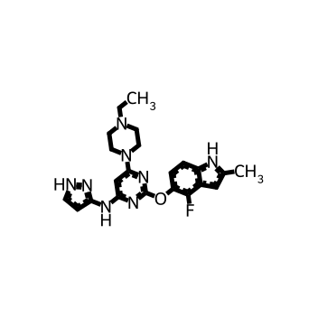 CCN1CCN(c2cc(Nc3cc[nH]n3)nc(Oc3ccc4[nH]c(C)cc4c3F)n2)CC1